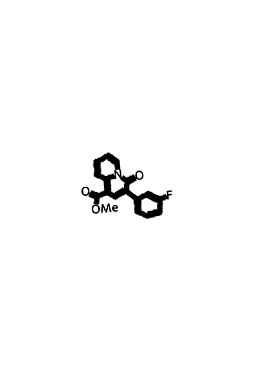 COC(=O)c1cc(-c2cccc(F)c2)c(=O)n2ccccc12